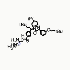 CC(C)C1CCC2(CC1)N=C(c1cccc(OCCC(C)(C)C)c1)C(=O)N2[C@H](CCC(C)(C)C)c1ccc(C(=O)NC/C(N)=N/NN)cc1